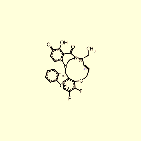 CC[C@H]1/C=C/COc2c(ccc(F)c2F)[C@H](c2ccccc2C)N2CN1C(=O)c1c(O)c(=O)ccn12